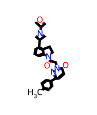 Cc1ccc(-c2ccc(=O)n(CC(=O)N3CCc4c(C5CN(C6COC6)C5)cccc43)n2)cc1